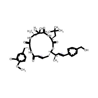 COc1ccc(C[C@H]2NC(=O)/C=C/C[C@@H]([C@H](C)/C=C/c3ccc(CO)cc3)OC(=O)[C@H](CC(C)(C)C)NC(=O)C(C)(C)[C@@H](C)NC2=O)cc1Cl